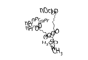 CCCCCCCCOC(=O)CCCCCCCCC(=O)OCC(COC(=O)CCCCC(OCC(CCC)CCC)OCC(CCC)CCC)COC(=O)C1(C)CCN(C)CC1